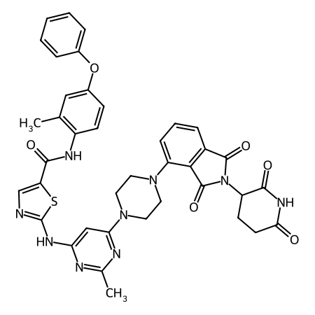 Cc1nc(Nc2ncc(C(=O)Nc3ccc(Oc4ccccc4)cc3C)s2)cc(N2CCN(c3cccc4c3C(=O)N(C3CCC(=O)NC3=O)C4=O)CC2)n1